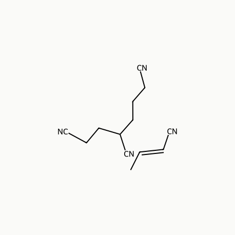 C/C=C/C#N.N#CCCCC(C#N)CCC#N